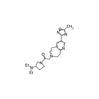 CCN(CC)C1CCN(C(=O)CN2CCc3cc(-c4noc(C)n4)cnc3CC2)C1